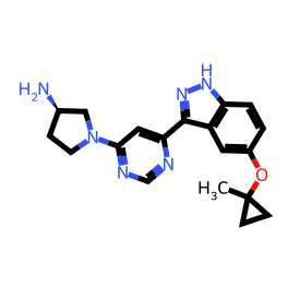 CC1(Oc2ccc3[nH]nc(-c4cc(N5CC[C@@H](N)C5)ncn4)c3c2)CC1